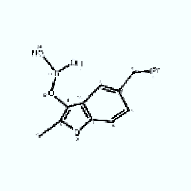 Cc1oc2ccc(CC(C)C)cc2c1OB(O)O